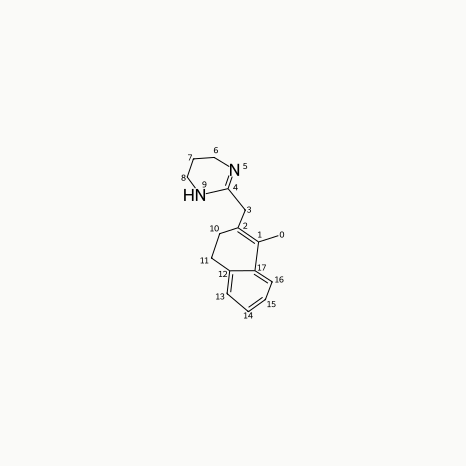 CC1=C(CC2=NCCCN2)CCc2ccccc21